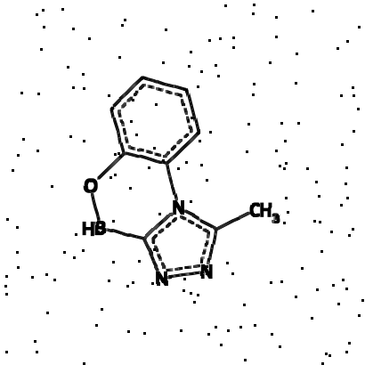 Cc1nnc2n1-c1ccccc1OB2